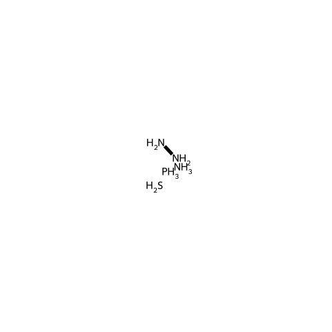 N.NN.P.S